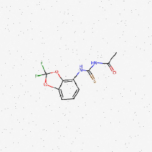 CC(=O)NC(=S)Nc1cccc2c1OC(F)(F)O2